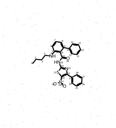 CCCCNc1cccc(-c2ccccc2)c1C(=O)Nc1nc(-c2ccccc2)c([N+](=O)[O-])s1